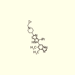 Cc1c(-c2[nH]c3sc(C4CCN(CC5CC5)CC4)nc3c2C(C)C)cn2ncnc2c1C